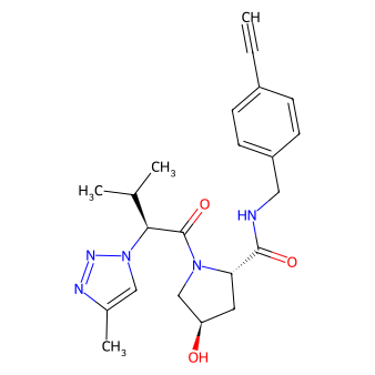 C#Cc1ccc(CNC(=O)[C@@H]2C[C@@H](O)CN2C(=O)[C@H](C(C)C)n2cc(C)nn2)cc1